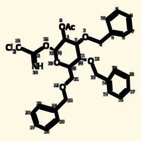 CC(=O)OC1C(OCc2ccccc2)[C@H](OCc2ccccc2)C(COCc2ccccc2)O[C@@H]1OC(=N)C(Cl)(Cl)Cl